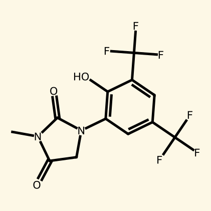 CN1C(=O)CN(c2cc(C(F)(F)F)cc(C(F)(F)F)c2O)C1=O